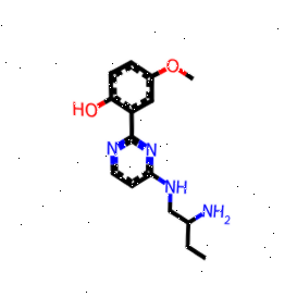 CCC(N)CNc1ccnc(-c2cc(OC)ccc2O)n1